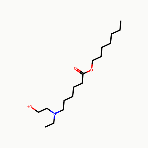 CCCCCCCOC(=O)CCCCCN(CC)CCO